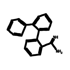 N=C(N)c1ccccc1-c1ccccc1-c1ccccc1